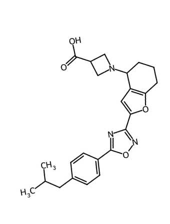 CC(C)Cc1ccc(-c2nc(-c3cc4c(o3)CCCC4N3CC(C(=O)O)C3)no2)cc1